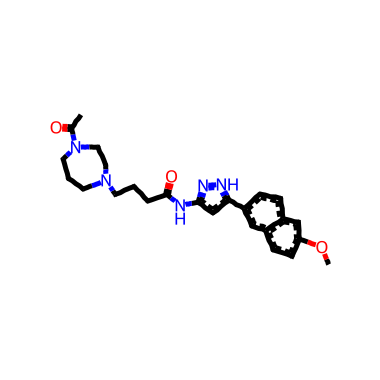 COc1ccc2cc(-c3cc(NC(=O)CCCN4CCCN(C(C)=O)CC4)n[nH]3)ccc2c1